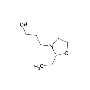 CCC1OCCN1CCCO